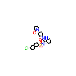 O=C(Nc1ccc(-n2ccccc2=O)cc1)[C@@H](NS(=O)(=O)c1ccc2cc(Cl)ccc2c1)c1ccccc1